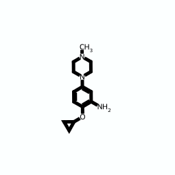 CN1CCN(c2ccc(OC3CC3)c(N)c2)CC1